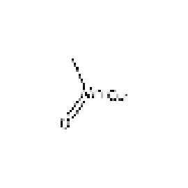 [CH3][Mn]=[O].[Cu]